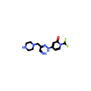 N=C/C(CN1CCNCC1)=N\Nc1ccn(C(F)F)c(=O)c1